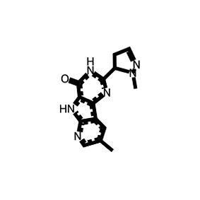 Cc1cnc2[nH]c3c(=O)[nH]c(C4CC=NN4C)nc3c2c1